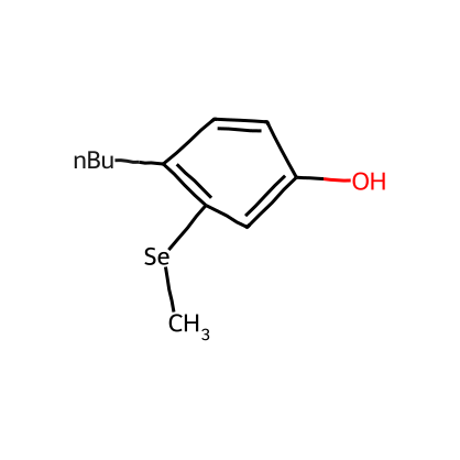 CCCCc1ccc(O)cc1[Se]C